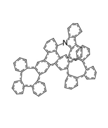 c1ccc2c(c1)c1ccccc1c1cc3c(cc1c1ccccc21)c1cccc(-n2c4ccccc4c4ccccc42)c1c1cc2c4ccccc4c4ccccc4c4ccccc4c2cc31